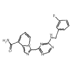 NC(=O)c1cccn2c(-c3ncnc(NCc4cccc(F)c4)n3)ncc12